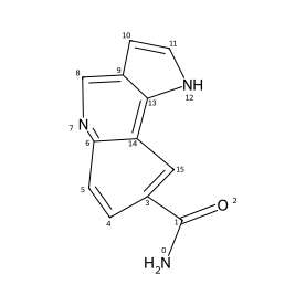 NC(=O)c1ccc2ncc3cc[nH]c3c2c1